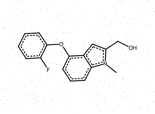 Cn1c(CO)cc2c(Oc3ccccc3F)cccc21